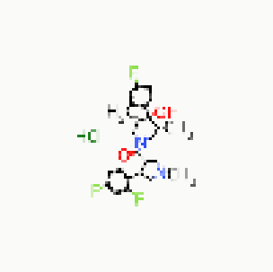 C[C@@H]1CN(C(=O)[C@@H]2CN(C)C[C@H]2c2ccc(F)cc2F)C[C@H](C)[C@]1(O)c1ccc(F)cc1.Cl